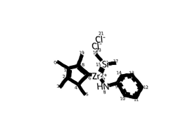 CC1=C(C)C(C)[C]([Zr+2]([NH]c2ccccc2)=[Si](C)C)=C1C.[Cl-].[Cl-]